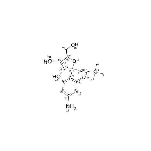 C[Si](C)(C)C#C[C@@]1(n2ccc(N)nc2=O)O[C@H](CO)[C@@H](O)[C@H]1O